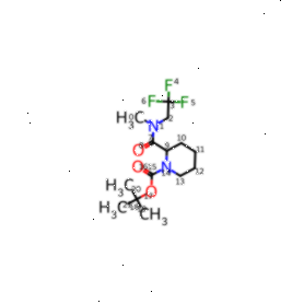 CN(CC(F)(F)F)C(=O)C1CCCCN1C(=O)OC(C)(C)C